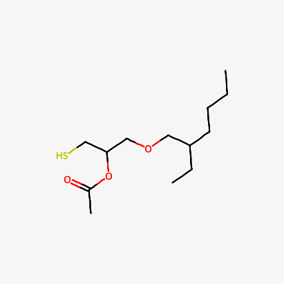 CCCCC(CC)COCC(CS)OC(C)=O